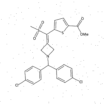 COC(=O)c1ccc(C(=C2CN(C(c3ccc(Cl)cc3)c3ccc(Cl)cc3)C2)S(C)(=O)=O)s1